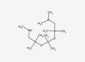 CNC[Si](C)(C)O[Si](C)(C)O[Si](C)(C)CN(C)C